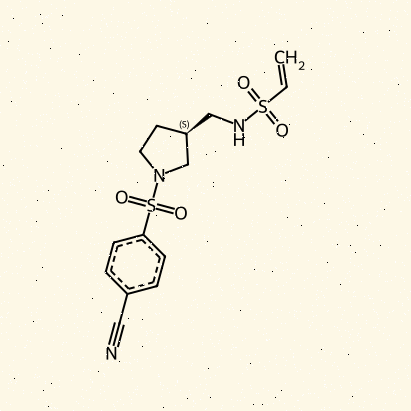 C=CS(=O)(=O)NC[C@@H]1CCN(S(=O)(=O)c2ccc(C#N)cc2)C1